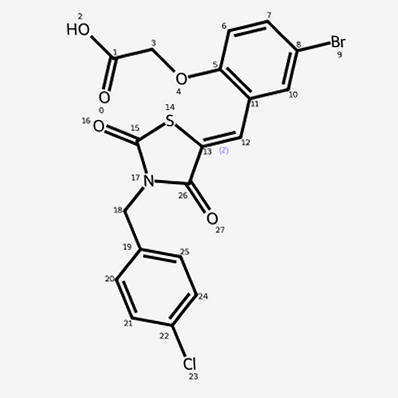 O=C(O)COc1ccc(Br)cc1/C=C1\SC(=O)N(Cc2ccc(Cl)cc2)C1=O